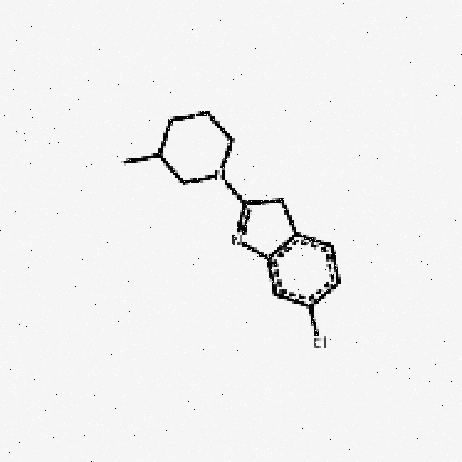 CC1CCCN(C2=Nc3cc(Cl)ccc3C2)C1